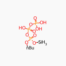 CCCCOP(=O)(O[SiH3])OP(=O)(O)OP(=O)(O)O